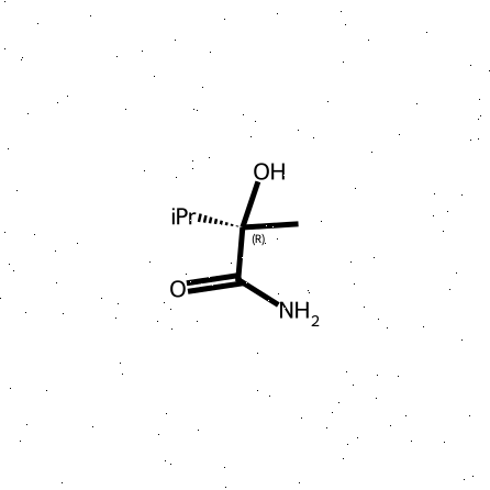 CC(C)[C@@](C)(O)C(N)=O